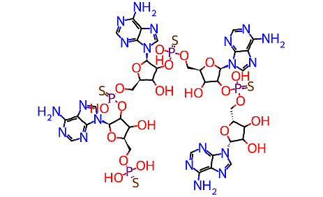 Nc1ncnc2c1ncn2[C@@H]1O[C@H](COP(O)(=S)OC2C(O)[C@@H](COP(O)(=S)OC3C(O)[C@@H](COP(O)(=S)OC4C(O)[C@@H](COP(O)(O)=S)O[C@H]4n4cnc5c(N)ncnc54)O[C@H]3n3cnc4c(N)ncnc43)O[C@H]2n2cnc3c(N)ncnc32)C(O)C1O